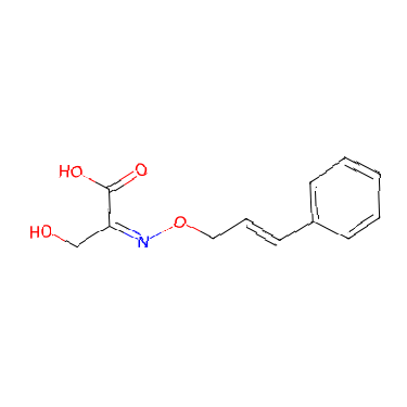 O=C(O)C(CO)=NOC/C=C/c1ccccc1